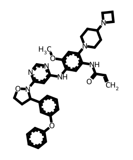 C=CC(=O)Nc1cc(Nc2cc(N3OCCC3c3cccc(Oc4ccccc4)c3)ncn2)c(OC)cc1N1CCC(N2CCC2)CC1